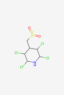 O=[SH](=O)CC1C(Cl)C(Cl)NC(Cl)C1Cl